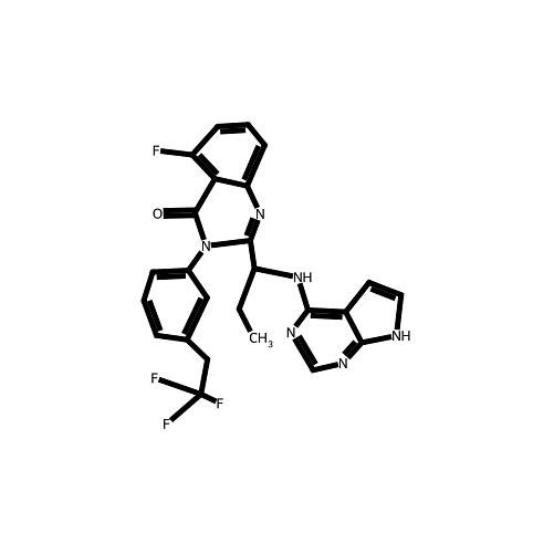 CCC(Nc1ncnc2[nH]ccc12)c1nc2cccc(F)c2c(=O)n1-c1cccc(CC(F)(F)F)c1